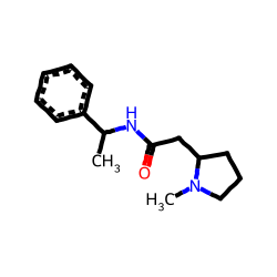 CC(NC(=O)CC1CCCN1C)c1ccccc1